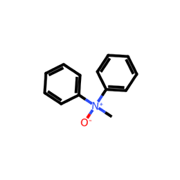 C[N+]([O-])(c1ccccc1)c1ccccc1